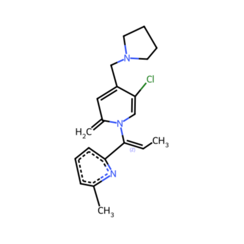 C=C1C=C(CN2CCCC2)C(Cl)=CN1/C(=C\C)c1cccc(C)n1